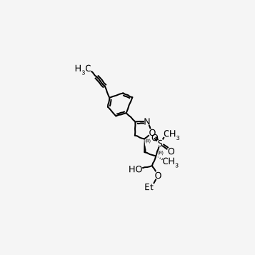 CC#Cc1ccc(C2=NO[C@@H](C[C@](C)(C(O)OCC)S(C)(=O)=O)C2)cc1